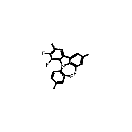 Cc1ccc(-n2c3c(F)cc(C)cc3c3cc(C)c(F)c(F)c32)c(F)c1